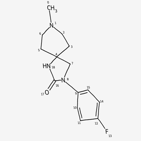 CN1CCC2(CC1)CN(c1ccc(F)cc1)C(=O)N2